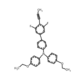 CC#Cc1c(F)cc(-c2ccc(N(c3ccc(OCC)cc3)c3ccc(OCC)cc3)cc2)cc1F